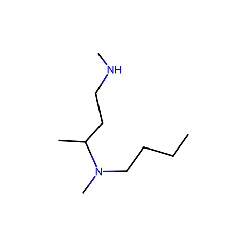 CCCCN(C)C(C)CCNC